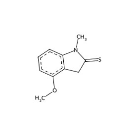 COc1cccc2c1CC(=S)N2C